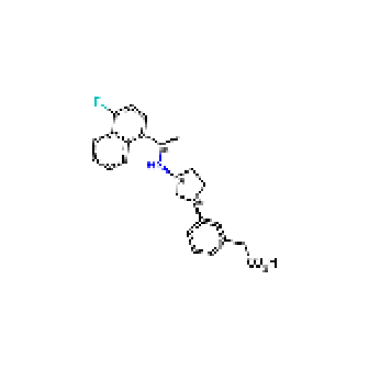 C[C@@H](N[C@H]1CC[C@@H](c2cccc(CC(=O)O)c2)C1)c1ccc(F)c2ccccc12